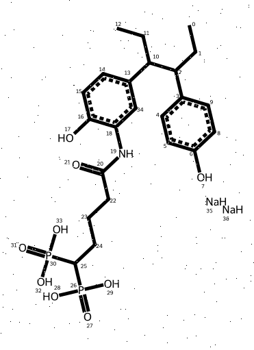 CCC(c1ccc(O)cc1)C(CC)c1ccc(O)c(NC(=O)CCCC(P(=O)(O)O)P(=O)(O)O)c1.[NaH].[NaH]